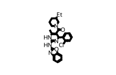 CCC1CCCN(C(=O)C2=C(C)NC(Nc3nc4ccccc4o3)=NC2c2ccccc2Cl)C1